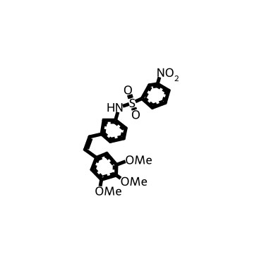 COc1cc(/C=C\c2cccc(NS(=O)(=O)c3cccc([N+](=O)[O-])c3)c2)cc(OC)c1OC